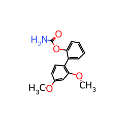 COc1ccc(-c2ccccc2OC(N)=O)c(OC)c1